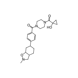 CN1CC2CCC(c3ccc(C(=O)N4CCN(C(=O)C5(O)CC5)CC4)cc3)CC2O1